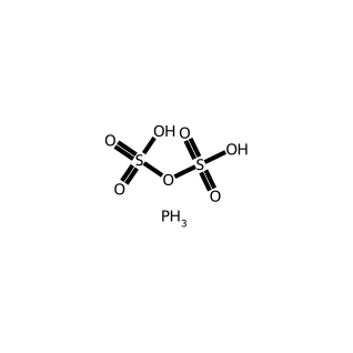 O=S(=O)(O)OS(=O)(=O)O.P